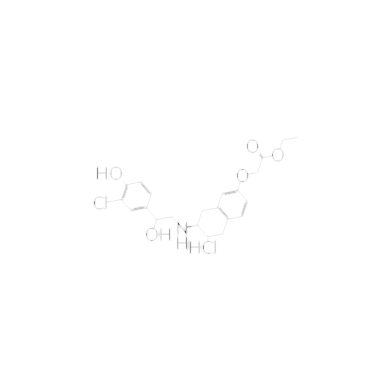 CCOC(=O)COc1ccc2c(c1)C[C@H](NCC(O)c1ccc(O)c(Cl)c1)CC2.Cl